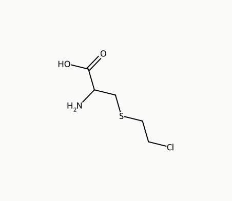 NC(CSCCCl)C(=O)O